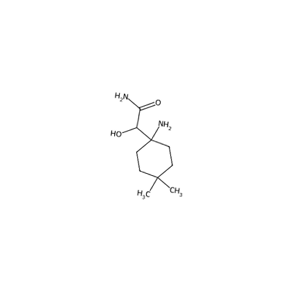 CC1(C)CCC(N)(C(O)C(N)=O)CC1